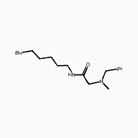 CCC(C)CCCCCNC(=O)CN(C)CC(C)C